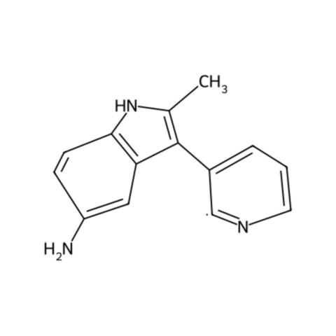 Cc1[nH]c2ccc(N)cc2c1-c1[c]nccc1